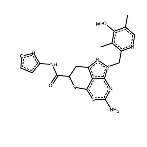 COc1c(C)cnc(Cn2nc3c4c(nc(N)nc42)SC(C(=O)Nc2ccon2)C3)c1C